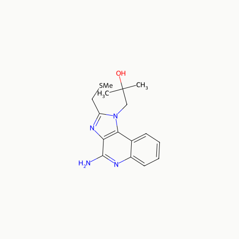 CSCc1nc2c(N)nc3ccccc3c2n1CC(C)(C)O